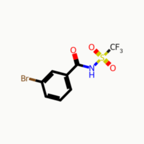 O=C(NS(=O)(=O)C(F)(F)F)c1cccc(Br)c1